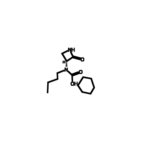 C1CCCCC1.CCCCN(C(=O)O)[C@@H]1CNC1=O